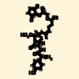 CCC(CC/C=C(/C)CC1(C)S[C@@H]2[C@H](NC(=O)[C@H](N)c3ccc(O)cc3)C(=O)N2[C@H]1C(=O)O)OCC(=O)ON1C(=O)CCC1=O